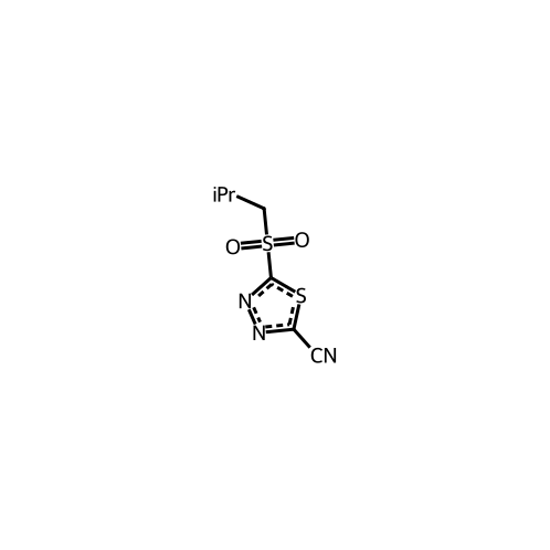 CC(C)CS(=O)(=O)c1nnc(C#N)s1